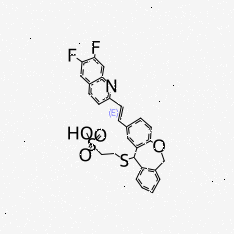 O=S(=O)(O)CCSC1c2ccccc2COc2ccc(/C=C/c3ccc4cc(F)c(F)cc4n3)cc21